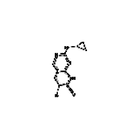 O=c1[nH]c2nc(NC3CC3)ncc2cc1Br